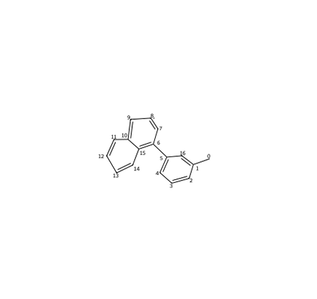 Cc1cccc(-c2c[c]cc3ccccc23)c1